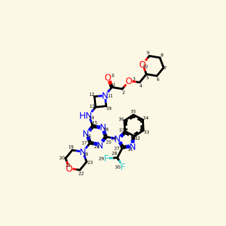 O=C(COCC1CCCCO1)N1CC(Nc2nc(N3CCOCC3)nc(-n3c(C(F)F)nc4ccccc43)n2)C1